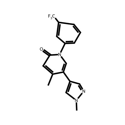 Cc1cc(=O)n(-c2cccc(C(F)(F)F)c2)cc1-c1cnn(C)c1